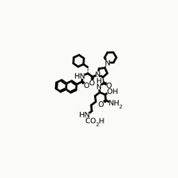 NC(=O)C(O)C(CCCCNC(=O)O)NC(=O)[C@@H]1C[C@@H](N2CCCCC2)CN1C(=O)[C@@H](CC1CCCCC1)NC(=O)c1ccc2ccccc2c1